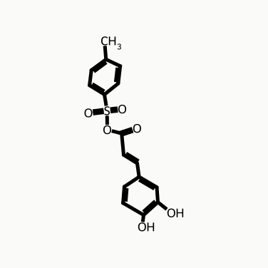 Cc1ccc(S(=O)(=O)OC(=O)/C=C/c2ccc(O)c(O)c2)cc1